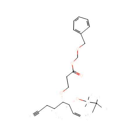 C#CC[C@@H](C)[C@H](OCCC(=O)OCOCc1ccccc1)[C@@H](C=C)O[Si](C)(C)C(C)(C)C